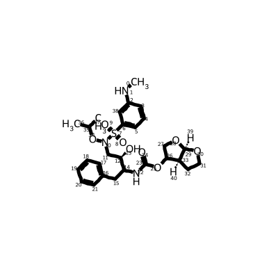 CNc1cccc(S(=O)(=O)N(C[C@@H](O)C(Cc2ccccc2)NC(=O)OC2CO[C@H]3OCC[C@@H]23)OC(C)C)c1